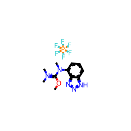 COC(N(C)c1cccc2[nH]nnc12)=[N+](C)C.F[P-](F)(F)(F)(F)F